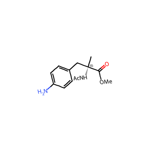 COC(=O)[C@](C)(Cc1ccc(N)cc1)NC(C)=O